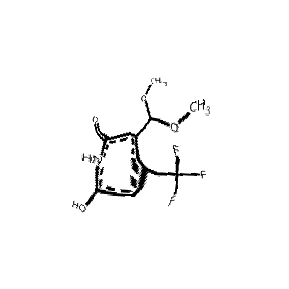 COC(OC)c1c(C(F)(F)F)cc(O)[nH]c1=O